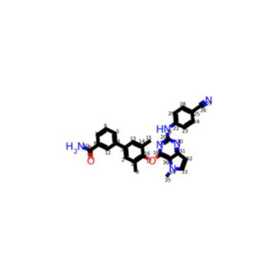 Cc1cc(-c2cccc(C(N)=O)c2)cc(C)c1Oc1nc(Nc2ccc(C#N)cc2)nc2ccn(C)c12